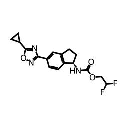 O=C(N[C@@H]1CCc2cc(-c3noc(C4CC4)n3)ccc21)OCC(F)F